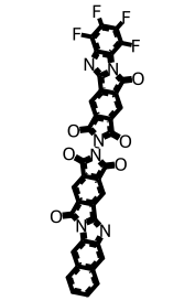 O=c1c2cc3c(=O)n4c5cc6ccccc6cc5nc4c3cc2c(=O)n1-n1c(=O)c2cc3c(=O)n4c(nc5c(F)c(F)c(F)c(F)c54)c3cc2c1=O